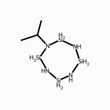 CC(C)N1[SiH2]N[SiH2]N[SiH2]N[SiH2]1